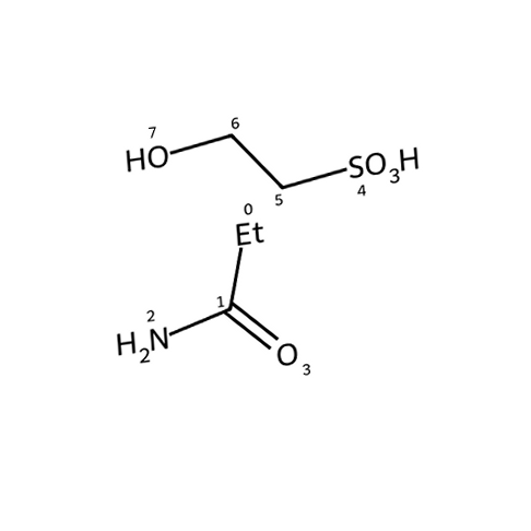 CCC(N)=O.O=S(=O)(O)CCO